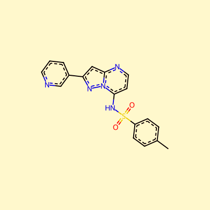 Cc1ccc(S(=O)(=O)Nc2ccnc3cc(-c4cccnc4)nn23)cc1